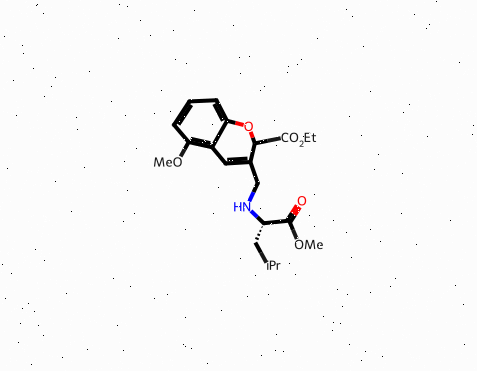 CCOC(=O)C1Oc2cccc(OC)c2C=C1CN[C@@H](CC(C)C)C(=O)OC